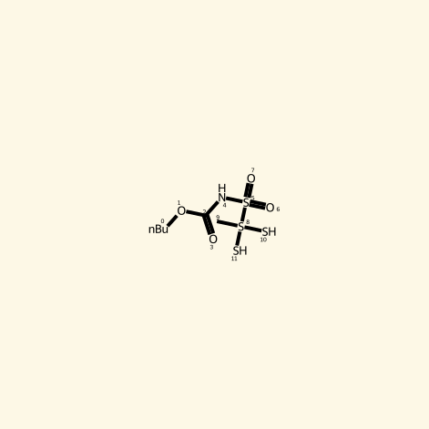 CCCCOC(=O)NS(=O)(=O)S(C)(S)S